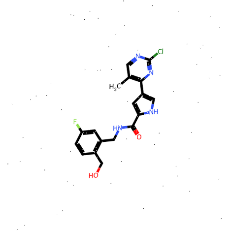 Cc1cnc(Cl)nc1-c1c[nH]c(C(=O)NCc2cc(F)ccc2CO)c1